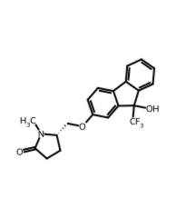 CN1C(=O)CC[C@H]1COc1ccc2c(c1)C(O)(C(F)(F)F)c1ccccc1-2